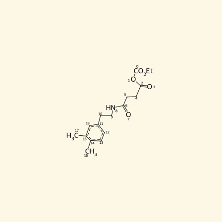 CCOC(=O)OC(=O)CCC(=O)NCCc1ccc(C)c(C)c1